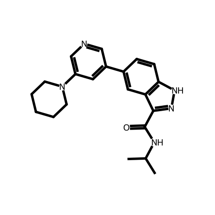 CC(C)NC(=O)c1n[nH]c2ccc(-c3cncc(N4CCCCC4)c3)cc12